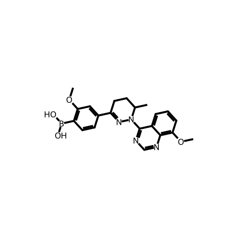 COc1cc(C2=NN(c3ncnc4c(OC)cccc34)C(C)CC2)ccc1B(O)O